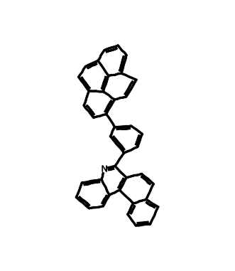 c1cc(-c2nc3ccccc3c3c2ccc2ccccc23)cc(-c2ccc3ccc4cccc5ccc2c3c45)c1